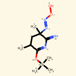 CC1CC(C)(/N=N/OO)C(=N)N=C1O[Si](C)(C)C